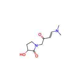 CN(C)C=CC(=O)CN1CCC(O)C1=O